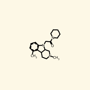 Cc1cccc2c1C1CCN(C)CC1N2CC(=O)N1CCCCC1